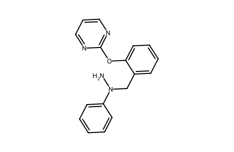 NN(Cc1ccccc1Oc1ncccn1)c1ccccc1